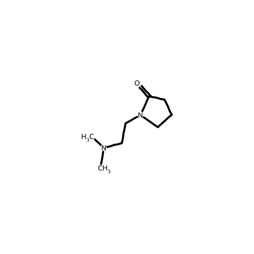 CN(C)CCN1CCCC1=O